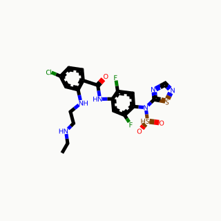 CCNCCNc1cc(Cl)ccc1C(=O)Nc1cc(F)c(N(c2ncns2)[SH](=O)=O)cc1F